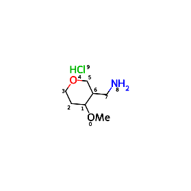 COC1CCOCC1CN.Cl